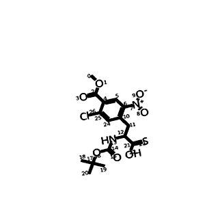 COC(=O)c1cc([N+](=O)[O-])c(CC(NC(=O)OC(C)(C)C)C(O)=S)cc1Cl